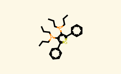 CCCP(CCC)c1c(-c2ccccc2)sc(-c2ccccc2)c1P(CCC)CCC